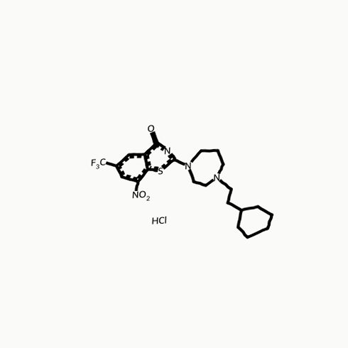 Cl.O=c1nc(N2CCCN(CCC3CCCCC3)CC2)sc2c([N+](=O)[O-])cc(C(F)(F)F)cc12